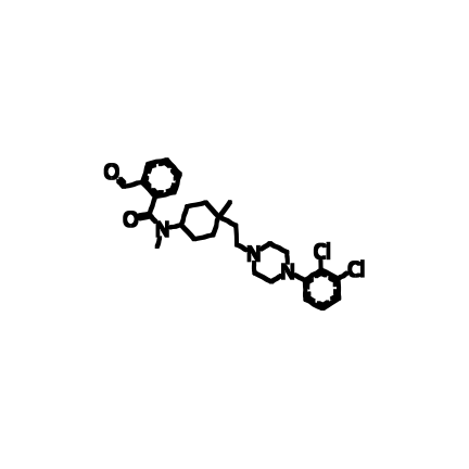 CN(C(=O)c1ccccc1C=O)C1CCC(C)(CCN2CCN(c3cccc(Cl)c3Cl)CC2)CC1